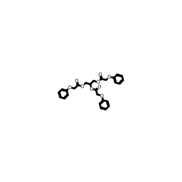 O=C(COc1ccccc1)OCC(COC(=O)COc1ccccc1)OC(=O)COc1ccccc1